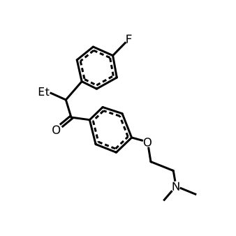 CCC(C(=O)c1ccc(OCCN(C)C)cc1)c1ccc(F)cc1